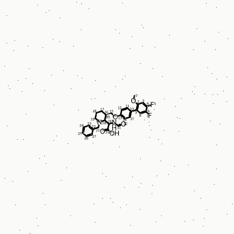 COc1cc(F)c(F)cc1-c1ccc(OC[C@@H]2CCCN(Cc3ccccc3)C2C(NC=O)C(=O)O)cc1